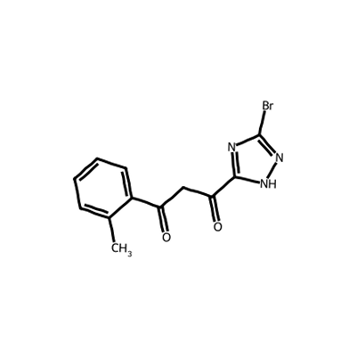 Cc1ccccc1C(=O)CC(=O)c1nc(Br)n[nH]1